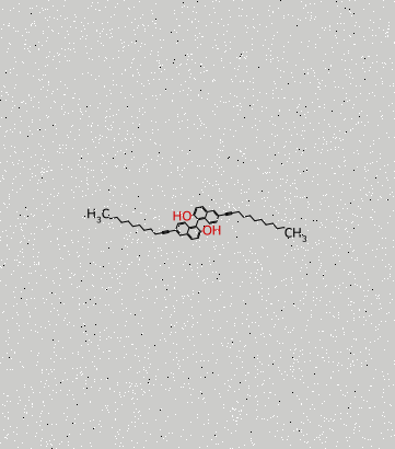 CCCCCCCCCCC#Cc1ccc2c(-c3c(O)ccc4cc(C#CCCCCCCCCCC)ccc34)c(O)ccc2c1